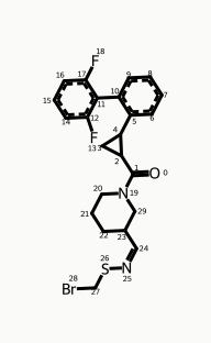 O=C(C1CC1c1ccccc1-c1c(F)cccc1F)N1CCCC(/C=N\SCBr)C1